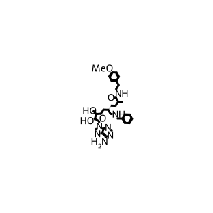 COc1ccc(CCNC(=O)C(C)CC[C@H](CNCc2ccccc2)CC2OC(n3cnc4c(N)ncnc43)C(O)C2O)cc1